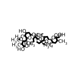 CCC[C@](C)(O[C@@H]1C[C@H](O)[C@@H](C)[C@@H]([C@@H](C)[C@@H](OC)[C@H](C)C(=O)O)O1)[C@H]1CC[C@@](CC)([C@@H]2OC([C@H]3O[C@@](O)(CO)[C@H](C)C[C@@H]3C)C[C@@H]2C)O1